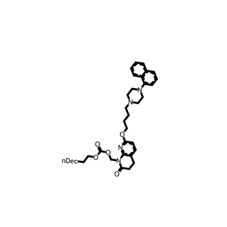 CCCCCCCCCCCCOC(=O)OCN1C(=O)CCc2ccc(OCCCCN3CCN(c4cccc5ccccc45)CC3)nc21